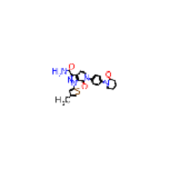 Cc1csc(-n2nc(C(N)=O)c3c2C(=O)N(c2ccc(N4CCCCC4=O)cc2)CC3)c1